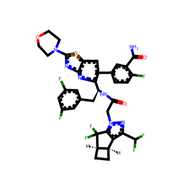 NC(=O)c1cc(-c2cc3sc(N4CCOCC4)nc3nc2[C@H](Cc2cc(F)cc(F)c2)NC(=O)Cn2nc(C(F)F)c3c2C(F)(F)[C@@H]2CC[C@H]32)ccc1F